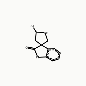 [2H]C1CC2(CN1)C(=O)Nc1ccccc12